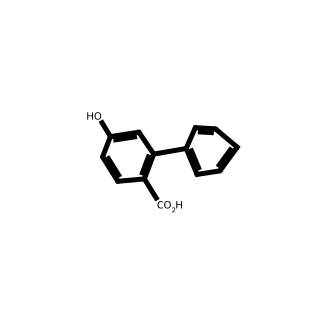 O=C(O)c1ccc(O)cc1-c1ccccc1